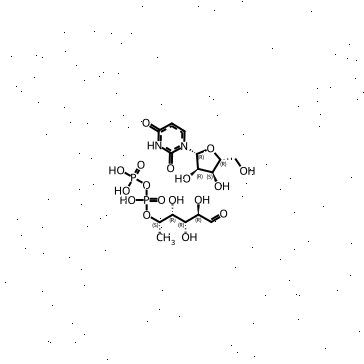 C[C@H](OP(=O)(O)OP(=O)(O)O)[C@H](O)[C@@H](O)[C@@H](O)C=O.O=c1ccn([C@@H]2O[C@H](CO)[C@@H](O)[C@H]2O)c(=O)[nH]1